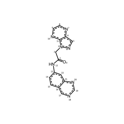 O=C(Cn1ncc2nccnc21)Nc1ccc2cncnc2c1